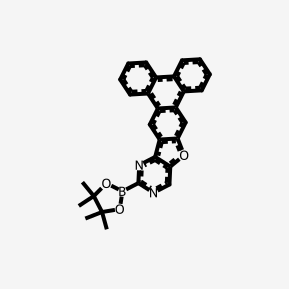 CC1(C)OB(c2ncc3oc4cc5c6ccccc6c6ccccc6c5cc4c3n2)OC1(C)C